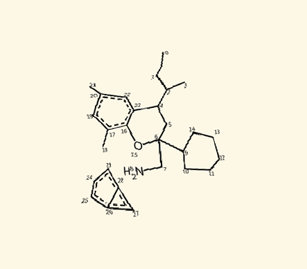 CCC(C)C1CC(CN)(C2CCCCC2)Oc2c(C)cc(C)cc21.c1cc2cc-2c1